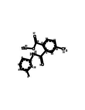 Cc1nccc(NC(=O)c2cc(C(F)(F)F)ccc2C(=O)OC(C)(C)C)n1